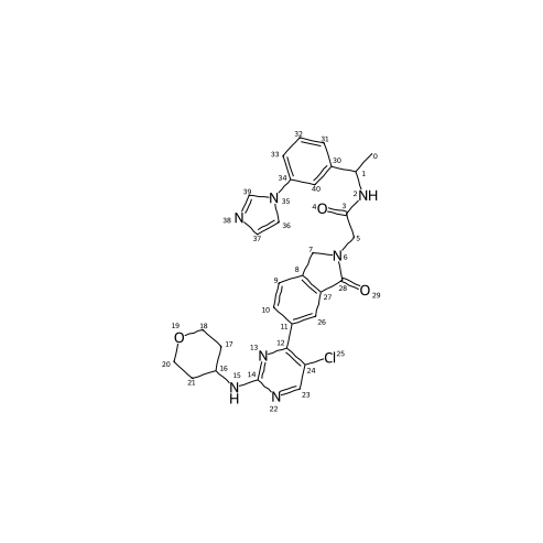 CC(NC(=O)CN1Cc2ccc(-c3nc(NC4CCOCC4)ncc3Cl)cc2C1=O)c1cccc(-n2ccnc2)c1